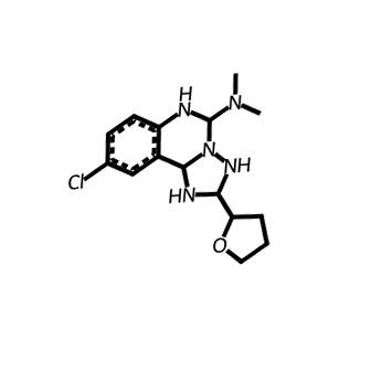 CN(C)C1Nc2ccc(Cl)cc2C2NC(C3CCCO3)NN21